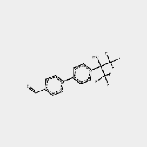 O=Cc1ccc(-c2ccc(C(O)(C(F)(F)F)C(F)(F)F)cc2)nc1